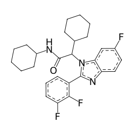 O=C(NC1CCCCC1)C(C1CCCCC1)n1c(-c2cccc(F)c2F)nc2ccc(F)cc21